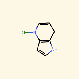 ClN1C=CCc2[nH]ccc21